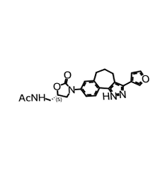 CC(=O)NC[C@H]1CN(c2ccc3c(c2)CCCc2c(-c4ccoc4)n[nH]c2-3)C(=O)O1